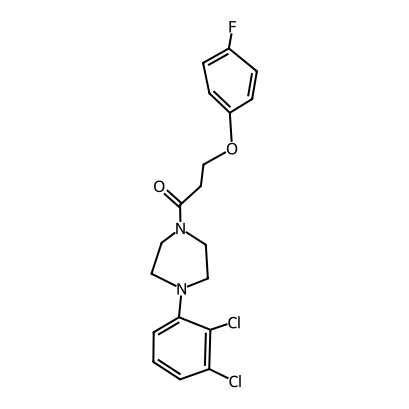 O=C(CCOc1ccc(F)cc1)N1CCN(c2cccc(Cl)c2Cl)CC1